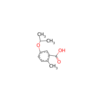 Cc1ccc(OC(C)C)cc1C(=O)O